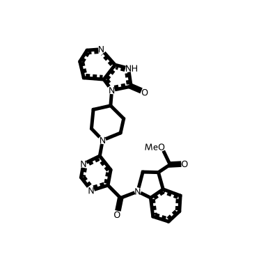 COC(=O)C1CN(C(=O)c2cc(N3CCC(n4c(=O)[nH]c5ncccc54)CC3)ncn2)c2ccccc21